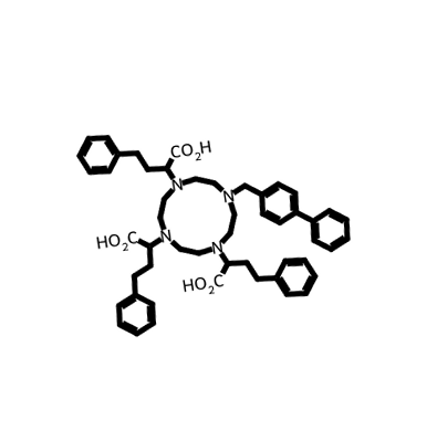 O=C(O)C(CCc1ccccc1)N1CCN(Cc2ccc(-c3ccccc3)cc2)CCN(C(CCc2ccccc2)C(=O)O)CCN(C(CCc2ccccc2)C(=O)O)CC1